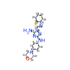 Nc1nc(Nc2ccc(N3CCOCC3)cc2)nn1-c1nc2ccccc2s1